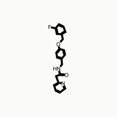 O=C(Cc1ccccn1)NCc1ccc(OCc2cccc(F)c2)cc1